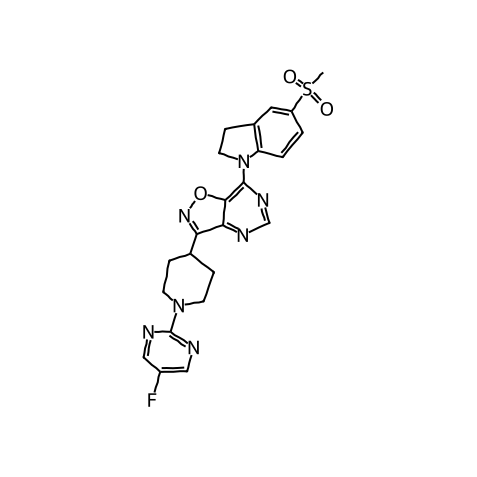 CS(=O)(=O)c1ccc2c(c1)CCN2c1ncnc2c(C3CCN(c4ncc(F)cn4)CC3)noc12